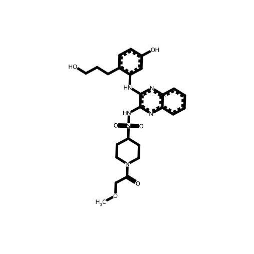 COCC(=O)N1CCC(S(=O)(=O)Nc2nc3ccccc3nc2Nc2cc(O)ccc2CCCO)CC1